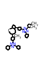 C=C/C=C\C(=C/C)c1nc(-c2ccccc2)nc(-c2ccc(-c3cccc4ccccc(-c5ccc(-c6nc(-c7ccccc7)nc(-c7ccccc7)n6)cc5)c(C)ccc34)cc2)n1